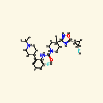 CC(C)N1CCC(c2cccc(F)c2NC(=O)N2CCC(C)(c3noc([C@@H]4C[C@@H]4F)n3)CC2)CC1